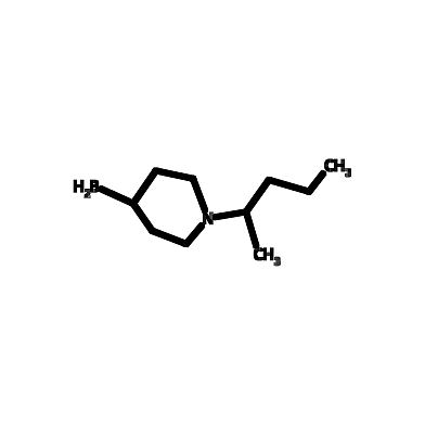 BC1CCN(C(C)CCC)CC1